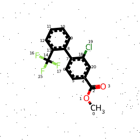 COC(=O)c1ccc(-c2ccccc2C(F)(F)F)c(Cl)c1